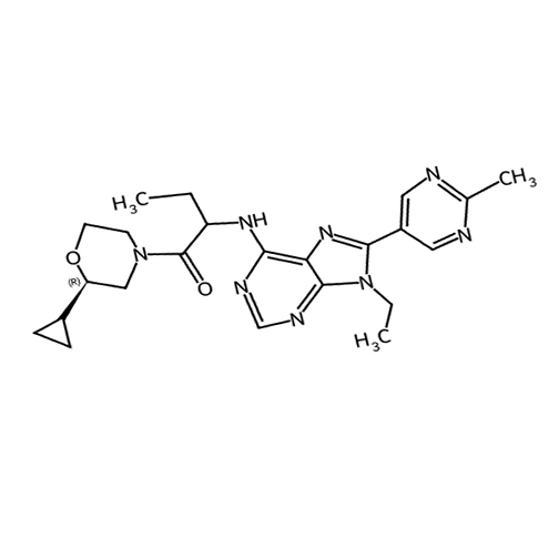 CCC(Nc1ncnc2c1nc(-c1cnc(C)nc1)n2CC)C(=O)N1CCO[C@H](C2CC2)C1